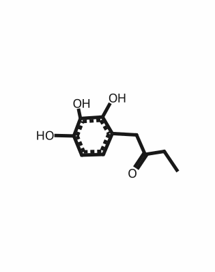 CCC(=O)Cc1ccc(O)c(O)c1O